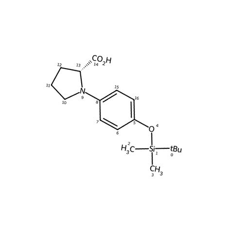 CC(C)(C)[Si](C)(C)Oc1ccc(N2CCC[C@@H]2C(=O)O)cc1